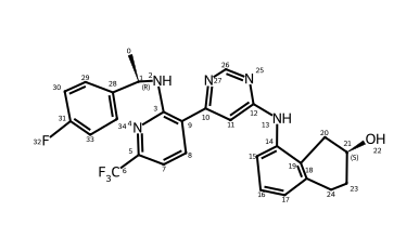 C[C@@H](Nc1nc(C(F)(F)F)ccc1-c1cc(Nc2cccc3c2C[C@@H](O)CC3)ncn1)c1ccc(F)cc1